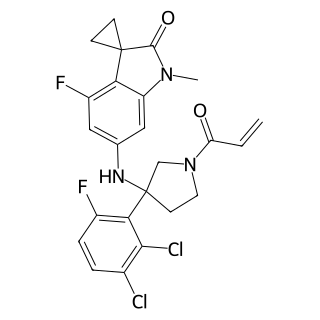 C=CC(=O)N1CCC(Nc2cc(F)c3c(c2)N(C)C(=O)C32CC2)(c2c(F)ccc(Cl)c2Cl)C1